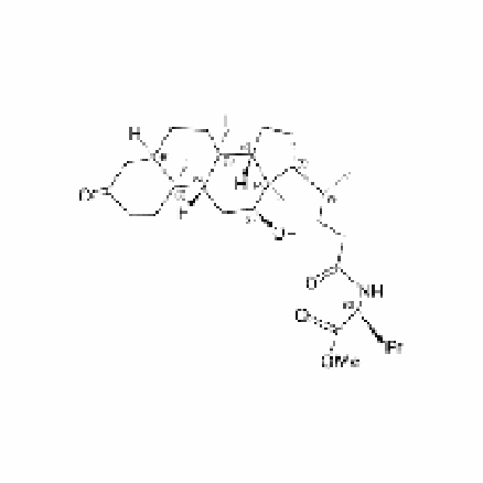 COC(=O)[C@@H](NC(=O)CC[C@@H](C)[C@H]1CC[C@H]2[C@@H]3CC[C@@H]4CC(=O)CC[C@]4(C)[C@H]3C[C@H](O)[C@]12C)C(C)C